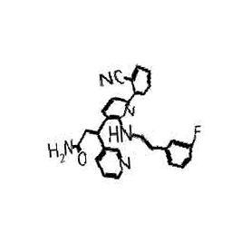 N#Cc1ccccc1-c1ccc(C(CC(N)=O)c2cccnc2)c(NCCc2cccc(F)c2)n1